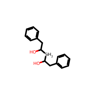 OC(Cc1ccccc1)[SiH2]C(O)Cc1ccccc1